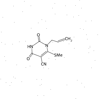 C=CCn1c(SC)c(C#N)c(=O)[nH]c1=O